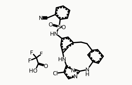 N#Cc1ccccc1S(=O)(=O)Nc1cc2cc(c1)Nc1nc(ncc1Cl)Nc1cccc(c1)CC2.O=C(O)C(F)(F)F